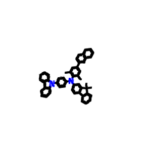 Cc1cc(-c2ccc3ccccc3c2)cc(C)c1N(c1ccc(-n2c3ccccc3c3ccccc32)cc1)c1ccc2c(c1)C(C)(C)c1ccccc1-2